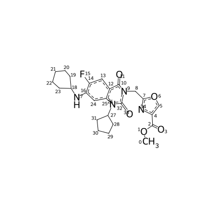 COC(=O)c1coc(Cn2c(=O)c3cc(F)c(NC4CCCCC4)cc3n(C3CCCC3)c2=O)n1